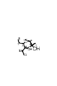 CCC1SCC(C)(O)SC1CC